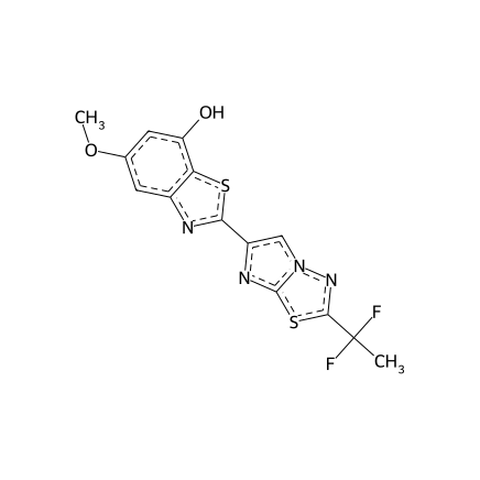 COc1cc(O)c2sc(-c3cn4nc(C(C)(F)F)sc4n3)nc2c1